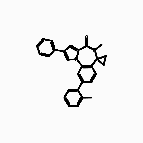 Cc1ncccc1-c1ccc2c(c1)-n1cc(-c3ccccc3)cc1C(=O)N(C)C21CC1